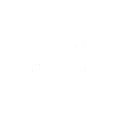 C1CCCCCCCCC1.C1CCCCCCCCC1.C1CCCCCCCCC1.CO